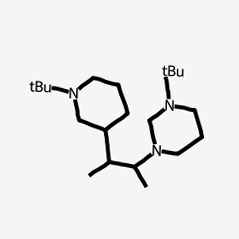 CC(C1CCCN(C(C)(C)C)C1)C(C)N1CCCN(C(C)(C)C)C1